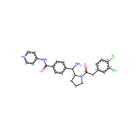 NC(c1ccc(C(=O)Nc2ccncc2)cc1)C1CCCN1C(=O)Cc1ccc(Cl)c(Cl)c1